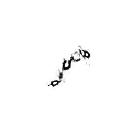 COc1ccc(C)cc1NC(=O)Nc1ccc(N2CCN(C(=O)C(O)c3ccccc3Cl)CC2)nc1